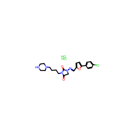 Cl.Cl.O=C1CN(/N=C/c2ccc(-c3ccc(Cl)cc3)o2)C(=O)N1CCCCN1CCNCC1